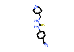 N#Cc1ccc(NC(=S)NCc2ccncc2)cc1